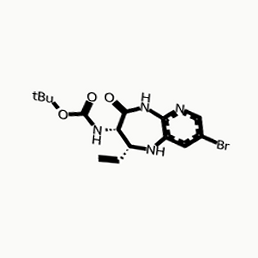 C=C[C@H]1Nc2cc(Br)cnc2NC(=O)[C@H]1NC(=O)OC(C)(C)C